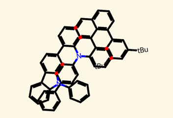 CC(C)(C)c1cc(-c2cccc3cccc(-c4ccccc4N(c4ccc(-c5ccccc5)cc4)c4ccccc4-c4ccc5c6ccccc6n(-c6ccccc6)c5c4)c23)cc(C(C)(C)C)c1